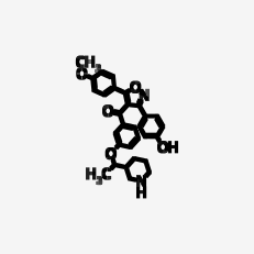 COc1ccc(-c2onc(-c3ccc(O)cc3)c2C(=O)c2cccc(OC(C)C3CCCNC3)c2)cc1